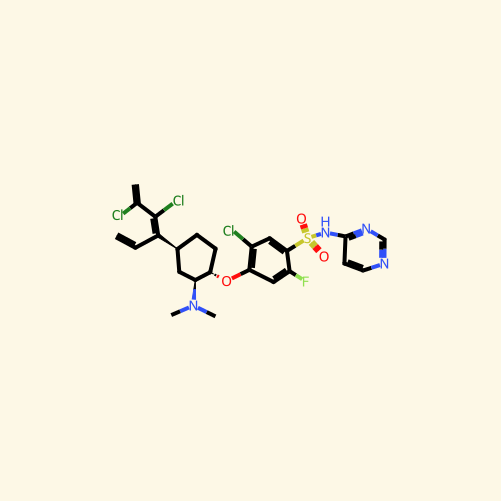 C=C/C(=C(/Cl)C(=C)Cl)[C@H]1CC[C@H](Oc2cc(F)c(S(=O)(=O)Nc3ccncn3)cc2Cl)[C@@H](N(C)C)C1